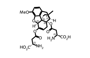 COc1ccc2c3c1O[C@@H]1C(OC(=O)C[C@H](N)C(=O)O)=CC[C@]4(OC(=O)C[C@H](N)C(=O)O)[C@H](C2)N(C)CC[C@@]314